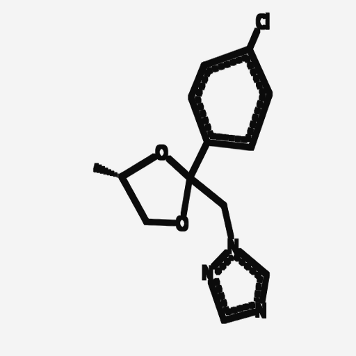 C[C@H]1COC(Cn2cncn2)(c2ccc(Cl)cc2)O1